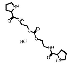 Cl.O=C(OCCNC(=O)C1CCCN1)OCCNC(=O)C1CCCN1